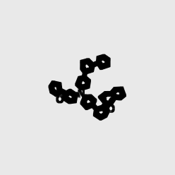 c1ccc(-c2cccc(-c3ccc(N(c4ccc(-c5cccc6oc7c8ccccc8ccc7c56)cc4)c4ccc5oc6ccccc6c5c4)cc3)c2)cc1